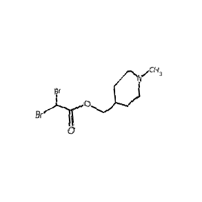 CN1CCC(COC(=O)C(Br)Br)CC1